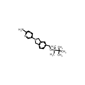 CC(C)(C)[Si](C)(C)OCc1ccc2c(c1)CN(c1ccc(N)nc1)C2